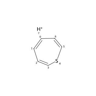 C1=CC=CSC=C1.[H+]